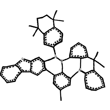 Cc1cc2c3c(c1)N1c4ccccc4C(C)(C)c4cccc(c41)B3N(c1ccc3c(c1)C(C)(C)CCC3(C)C)c1cc3sc4ccccc4c3cc1-2